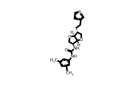 Cc1cc(C)cc(NC(=O)N[C@H]2CO[C@H]3[C@H](CCc4ccsc4)CO[C@@H]32)c1